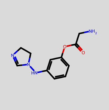 NCC(=O)Oc1cccc(NN2C=NCC2)c1